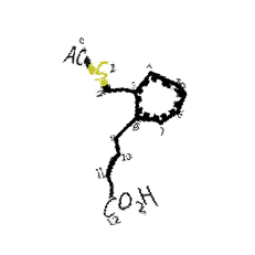 CC(=O)SCc1ccccc1CCCC(=O)O